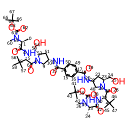 C[C@@H](C(=O)N[C@H](C(=O)N1C[C@@H](NC(=O)c2ccc(C(=O)N[C@H]3C[C@@H](CO)N(C(=O)[C@@H](NC(=O)[C@H](C)N(C)C(=O)OC(C)(C)C)C(C)(C)C)C3)cc2)C[C@H]1CO)C(C)(C)C)N(C)C(=O)OC(C)(C)C